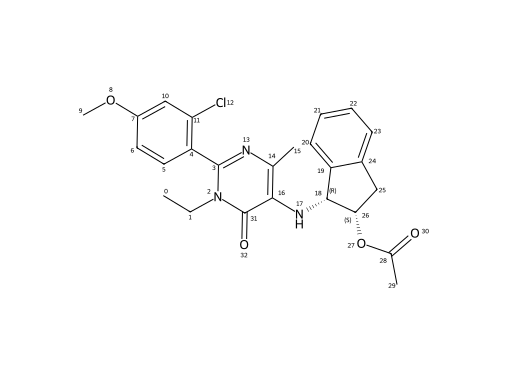 CCn1c(-c2ccc(OC)cc2Cl)nc(C)c(N[C@@H]2c3ccccc3C[C@@H]2OC(C)=O)c1=O